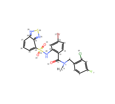 CN(Cc1ccc(F)cc1Cl)C(=O)c1ccc(Br)cc1NS(=O)(=O)c1cccc2nsnc12